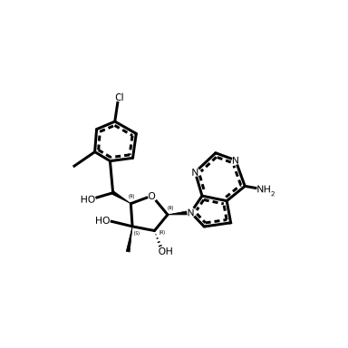 Cc1cc(Cl)ccc1C(O)[C@H]1O[C@@H](n2ccc3c(N)ncnc32)[C@H](O)[C@]1(C)O